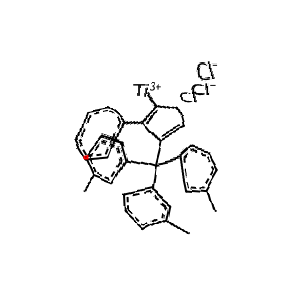 Cc1cccc(C(C2=CC[C]([Ti+3])=C2c2ccccc2)(c2cccc(C)c2)c2cccc(C)c2)c1.[Cl-].[Cl-].[Cl-]